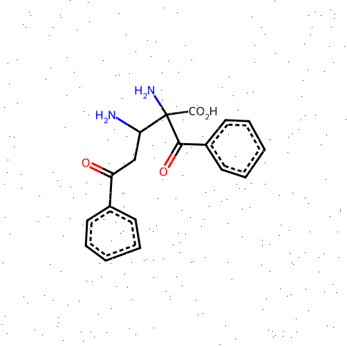 NC(CC(=O)c1ccccc1)C(N)(C(=O)O)C(=O)c1ccccc1